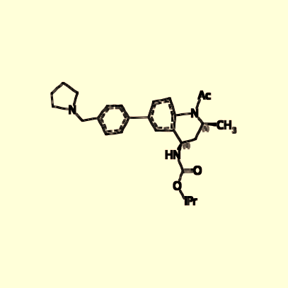 CC(=O)N1c2ccc(-c3ccc(CN4CCCC4)cc3)cc2[C@H](NC(=O)OC(C)C)C[C@@H]1C